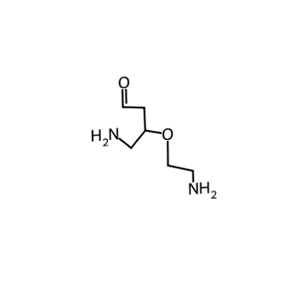 NCCOC(CN)CC=O